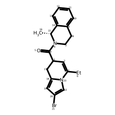 CCC1=CC(C(=O)N2CCc3ccccc3[C@H]2C)Cc2cc(Br)cn21